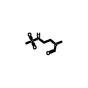 CN(C=O)CCNS(C)(=O)=O